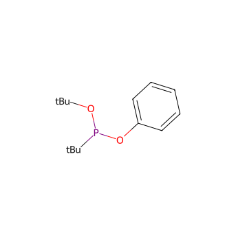 CC(C)(C)OP(Oc1ccccc1)C(C)(C)C